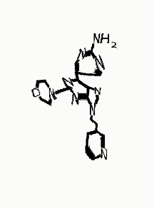 Nc1ncc(-c2nc(N3CCOCC3)nc3c2ncn3CCc2cccnc2)cn1